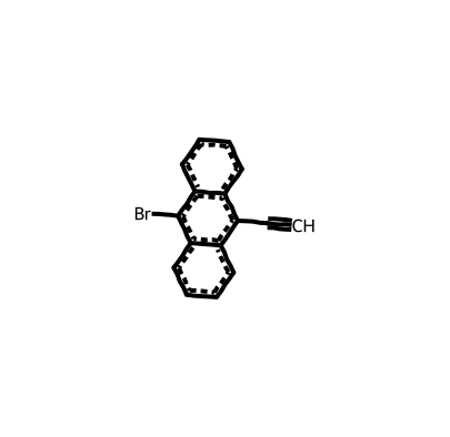 C#Cc1c2ccccc2c(Br)c2ccccc12